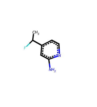 CC(F)c1ccnc(N)c1